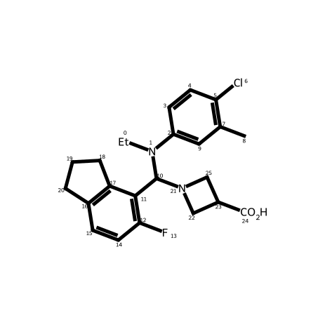 CCN(c1ccc(Cl)c(C)c1)C(c1c(F)ccc2c1CCC2)N1CC(C(=O)O)C1